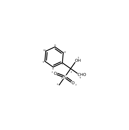 CS(=O)(=O)C(O)(C=O)c1ccccc1